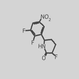 O=C1NC(c2cc([N+](=O)[O-])cc(F)c2F)CCC1F